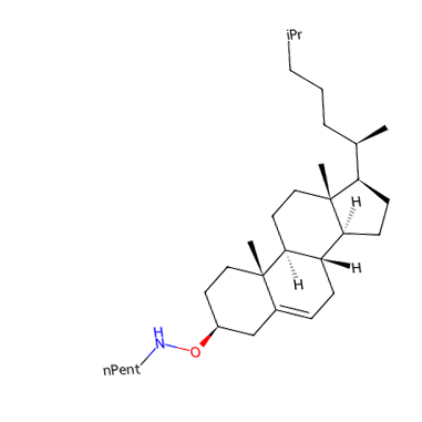 CCCCCNO[C@H]1CC[C@@]2(C)C(=CC[C@H]3[C@@H]4CC[C@H]([C@H](C)CCCC(C)C)[C@@]4(C)CC[C@@H]32)C1